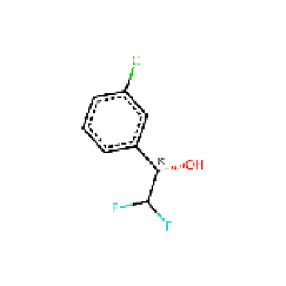 O[C@@H](c1cccc(Cl)c1)C(F)F